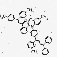 Cc1ccc(C(=Cc2ccc(N(c3ccc(/C(=C/C=C(c4ccccc4)c4ccccc4)c4cccc(C)n4)cc3)c3ccc(C)cc3C)c3ccccc23)c2ccc(C)cc2)cc1